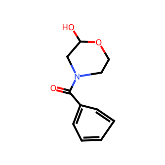 O=C(c1ccccc1)N1CCOC(O)C1